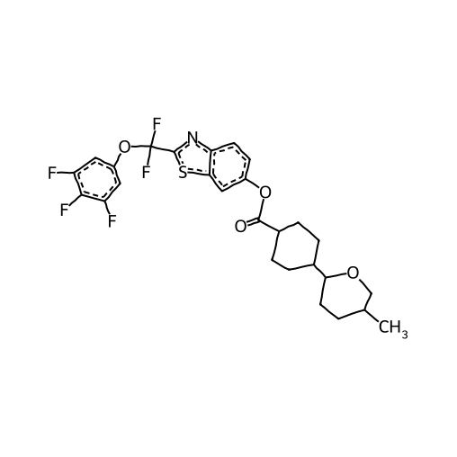 CC1CCC(C2CCC(C(=O)Oc3ccc4nc(C(F)(F)Oc5cc(F)c(F)c(F)c5)sc4c3)CC2)OC1